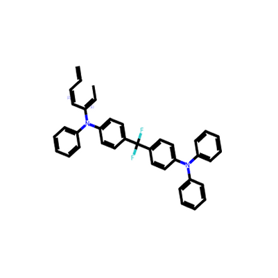 C=C/C=C\C(=C/C)N(c1ccccc1)c1ccc(C(F)(F)c2ccc(N(c3ccccc3)c3ccccc3)cc2)cc1